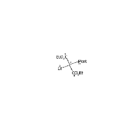 CCCC(C)C(CC)(C(=O)OCC)C(=O)OCC